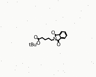 CC(C)(C)OC(=O)CCCCN1C(=O)c2ccccc2C1=O